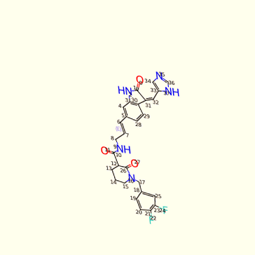 O=C1Nc2cc(/C=C/CNC(=O)C3CCCN(Cc4ccc(F)c(F)c4)C3=O)ccc2C1=Cc1cnc[nH]1